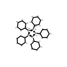 C1CCC(p2p(C3CCCCC3)p(C3CCCCC3)p(C3CCCCC3)p2C2CCCCC2)CC1